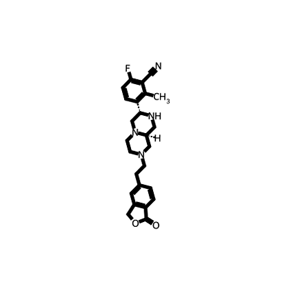 Cc1c([C@H]2CN3CCN(CCc4ccc5c(c4)COC5=O)C[C@@H]3CN2)ccc(F)c1C#N